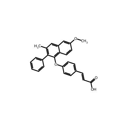 COc1ccc2c(Oc3ccc(/C=C/C(=O)O)cc3)c(-c3ccccc3)c(C)cc2c1